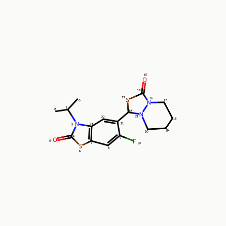 CC(C)n1c(=O)sc2cc(F)c(C3SC(=O)N4CCCCN34)cc21